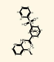 COc1cccnc1NC(=O)C1CC2CCC1N(S(=O)(=O)c1ccccn1)C2